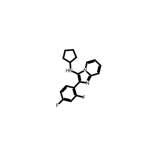 Fc1ccc(-c2nc3ccccn3c2NC2CCCC2)c(F)c1